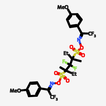 CCC(C)(C(F)(F)C(C)(CC)S(=O)(=O)O/N=C(/c1ccc(OC)cc1)C(F)(F)F)S(=O)(=O)O/N=C(/c1ccc(OC)cc1)C(F)(F)F